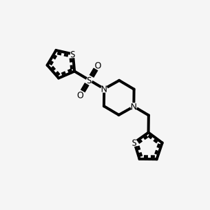 O=S(=O)(c1cccs1)N1CCN(Cc2cccs2)CC1